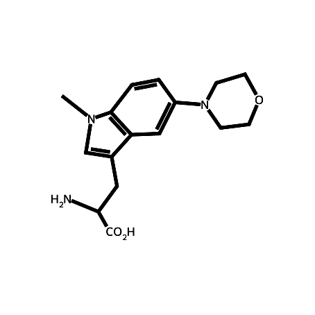 Cn1cc(CC(N)C(=O)O)c2cc(N3CCOCC3)ccc21